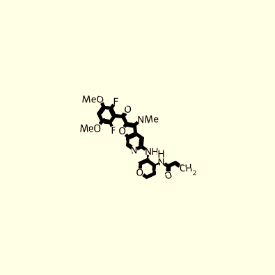 C=CC(=O)N[C@H]1CCOC[C@H]1Nc1cc2c(NC)c(C(=O)c3c(F)c(OC)cc(OC)c3F)oc2cn1